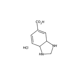 Cl.O=C(O)C1=CC2NCNC2C=C1